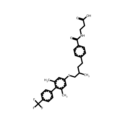 Cc1cc(SCC(C)CCc2ccc(C(=O)NCCC(=O)O)cc2)cc(C)c1-c1ccc(C(F)(F)F)cc1